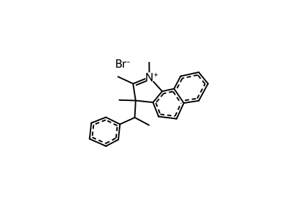 CC1=[N+](C)c2c(ccc3ccccc23)C1(C)C(C)c1ccccc1.[Br-]